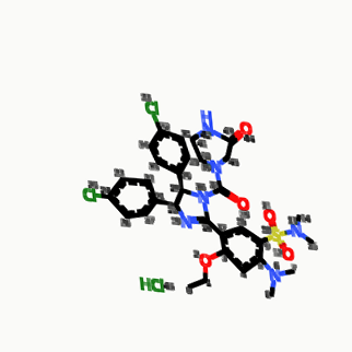 CCOc1cc(N(C)C)c(S(=O)(=O)N(C)C)cc1C1=N[C@@H](c2ccc(Cl)cc2)[C@@H](c2ccc(Cl)cc2)N1C(=O)N1CCNC(=O)C1.Cl